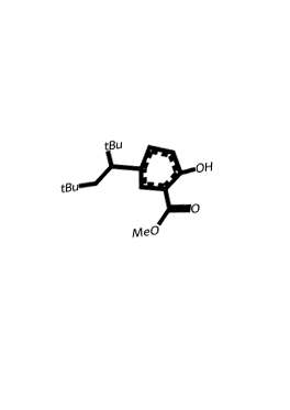 COC(=O)c1cc(C(CC(C)(C)C)C(C)(C)C)ccc1O